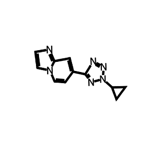 c1cn2ccc(-c3nnn(C4CC4)n3)cc2n1